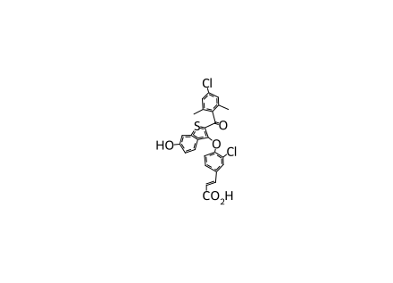 Cc1cc(Cl)cc(C)c1C(=O)c1sc2cc(O)ccc2c1Oc1ccc(/C=C/C(=O)O)cc1Cl